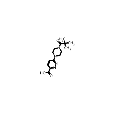 CC(C)(C)C(=O)N1CCN(c2ccc(C(=O)O)nn2)CC1